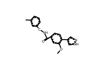 COc1cc(C(=O)NCc2cccc(C)c2)ccc1-c1cn[nH]c1